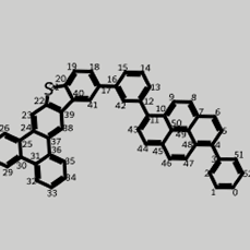 c1ccc(-c2ccc3ccc4c(-c5cccc(-c6ccc7sc8cc9c%10ccccc%10c%10ccccc%10c9cc8c7c6)c5)ccc5ccc2c3c54)cc1